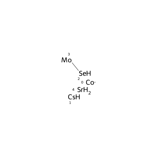 [Co].[CsH].[SeH][Mo].[SrH2]